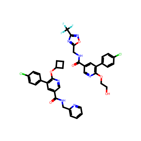 O=C(NCc1ccccn1)c1cnc(OC2CCC2)c(-c2ccc(Cl)cc2)c1.O=C(NCc1nc(C(F)(F)F)no1)c1cnc(OCCO)c(-c2ccc(Cl)cc2)c1